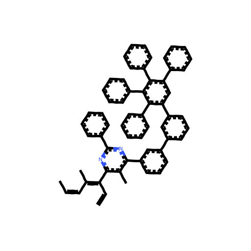 C=C/C(=C(C)\C=C/C)c1nc(-c2ccccc2)nc(-c2cccc(-c3cccc(-c4cc(-c5ccccc5)c(-c5ccccc5)c(-c5ccccc5)c4-c4ccccc4)c3)c2)c1C